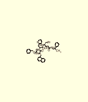 CC(C)C[C@H](NC(=O)C(Cc1ccccn1)NC(=O)[C@H](Cc1cccc2ccccc12)NC(=O)OCc1ccccc1)[C@@H](O)CC(=O)NCC(C)c1ccccc1